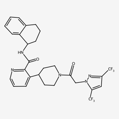 O=C(NC1CCCc2ccccc21)c1ncccc1C1CCN(C(=O)Cn2nc(C(F)(F)F)cc2C(F)(F)F)CC1